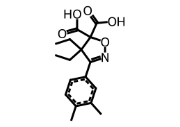 CCC1(CC)C(c2ccc(C)c(C)c2)=NOC1(C(=O)O)C(=O)O